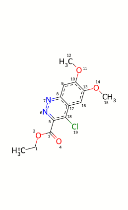 CCOC(=O)c1nnc2cc(OC)c(OC)cc2c1Cl